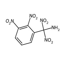 NC(c1cccc([N+](=O)[O-])c1[N+](=O)[O-])([N+](=O)[O-])[N+](=O)[O-]